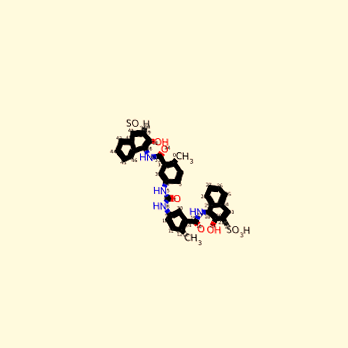 Cc1ccc(NC(=O)Nc2ccc(C)c(C(=O)Nc3c(O)c(S(=O)(=O)O)cc4ccccc34)c2)cc1C(=O)Nc1c(O)c(S(=O)(=O)O)cc2ccccc12